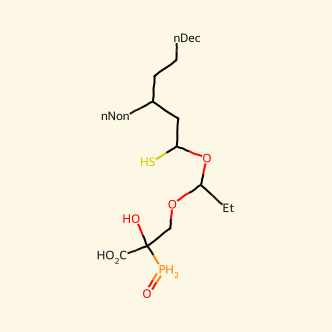 CCCCCCCCCCCCC(CCCCCCCCC)CC(S)OC(CC)OCC(O)([PH2]=O)C(=O)O